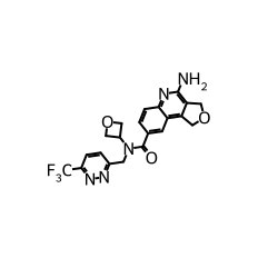 Nc1nc2ccc(C(=O)N(Cc3ccc(C(F)(F)F)nn3)C3COC3)cc2c2c1COC2